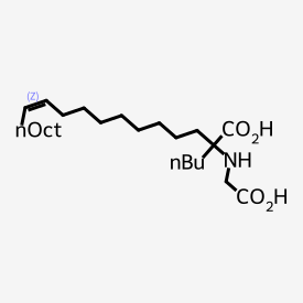 CCCCCCCC/C=C\CCCCCCCCC(CCCC)(NCC(=O)O)C(=O)O